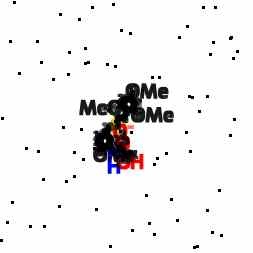 COc1cc(OC)c(C=C[S+]([O-])Cc2ccc(OC)c(NC(=O)C(C)O)c2)c(OC)c1